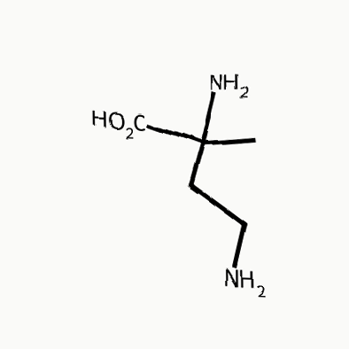 CC(N)(CCN)C(=O)O